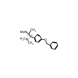 CN[C@@H](C)[C@H](c1ccc(OCc2ccccc2)cc1)N(C)C